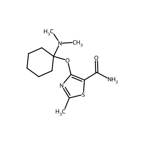 Cc1nc(OC2(N(C)C)CCCCC2)c(C(N)=O)s1